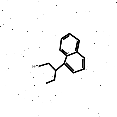 CCC(CO)c1cccc2ccccc12